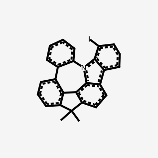 CC1(C)c2cccc3c2-c2c1ccc1c4cccc(I)c4n(c21)-c1ccccc1-3